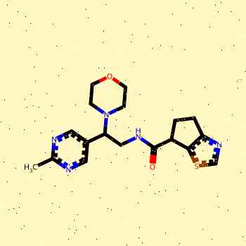 Cc1ncc(C(CNC(=O)C2CCc3ncsc32)N2CCOCC2)cn1